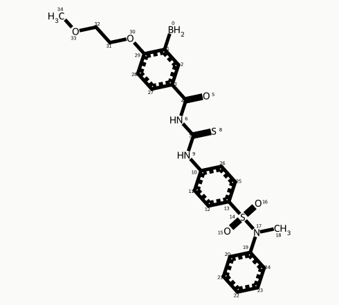 Bc1cc(C(=O)NC(=S)Nc2ccc(S(=O)(=O)N(C)c3ccccc3)cc2)ccc1OCCOC